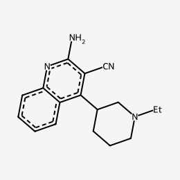 CCN1CCCC(c2c(C#N)c(N)nc3ccccc23)C1